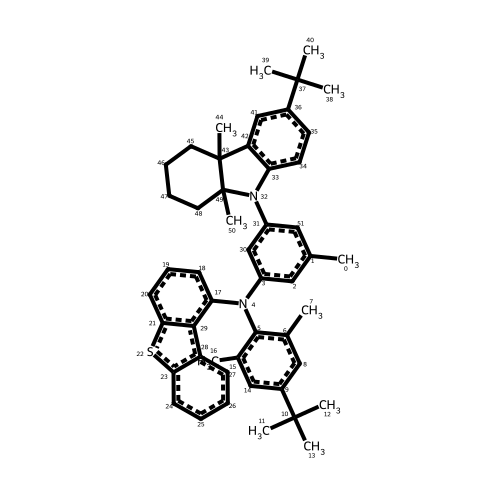 Cc1cc(N(c2c(C)cc(C(C)(C)C)cc2C)c2cccc3sc4ccccc4c23)cc(N2c3ccc(C(C)(C)C)cc3C3(C)CCCCC23C)c1